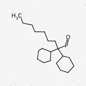 CCCCCCCC(P=O)(C1CCCCC1)C1CCCCC1